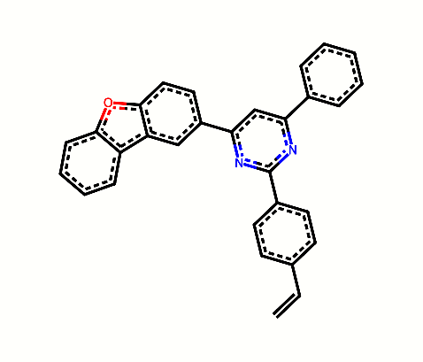 C=Cc1ccc(-c2nc(-c3ccccc3)cc(-c3ccc4oc5ccccc5c4c3)n2)cc1